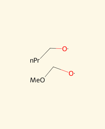 CCCC[O].COC[O]